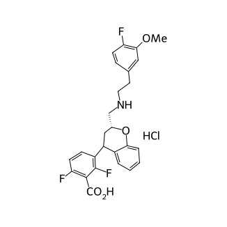 COc1cc(CCNC[C@H]2CC(c3ccc(F)c(C(=O)O)c3F)c3ccccc3O2)ccc1F.Cl